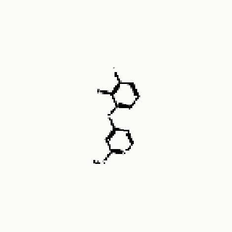 CSc1[c]c(Oc2cccc(F)c2F)ccn1